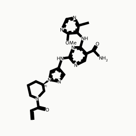 C=CC(=O)N1CCC[C@@H](n2cc(Nc3ncc(C(N)=O)c(Nc4c(C)ncnc4OC)n3)cn2)C1